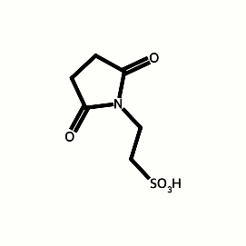 O=C1CCC(=O)N1CCS(=O)(=O)O